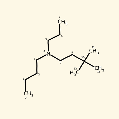 CCCCN(CCC)CCC(C)(C)C